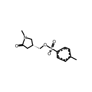 Cc1ccc(S(=O)(=O)OC[C@@H]2CC(=O)N(C)C2)cc1